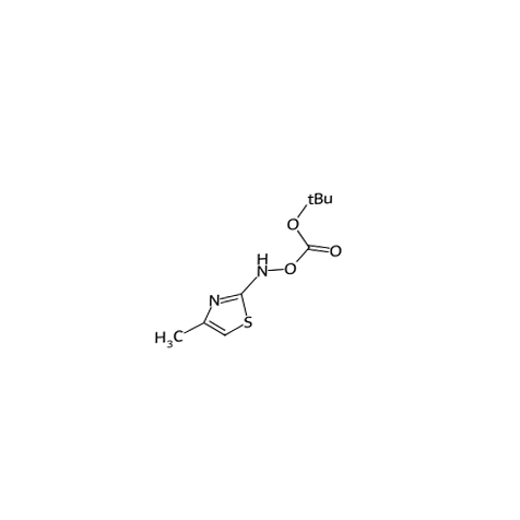 Cc1csc(NOC(=O)OC(C)(C)C)n1